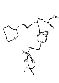 CC(C)(C)NS(=O)(=O)NCc1noc([C@H](CCCC2CCCCC2)CC(=O)O)n1